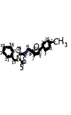 Cc1ccc(-c2ccc(/C=C3\SC(=S)N(Cc4ccccc4)C3=O)o2)cc1